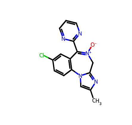 Cc1cn2c(n1)C[N+]([O-])=C(c1ncccn1)c1cc(Cl)ccc1-2